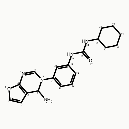 NC1c2ccoc2N=CN1c1cccc(NC(=O)NC2CCCCC2)c1